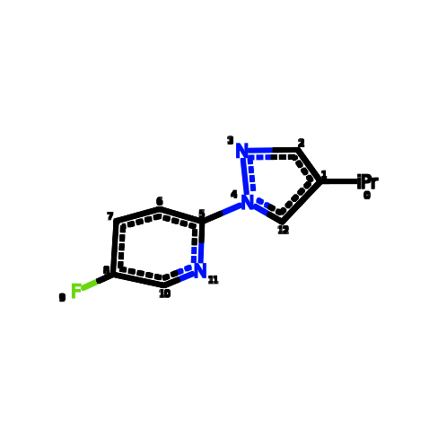 CC(C)c1cnn(-c2ccc(F)cn2)c1